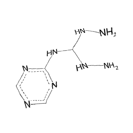 NNC(NN)Nc1ncncn1